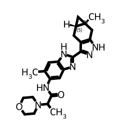 Cc1cc2[nH]c(-c3n[nH]c4c3C[C@@H]3C[C@]3(C)C4)nc2cc1NC(=O)C(C)N1CCOCC1